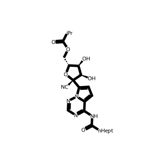 CCCCCCCC(=O)Nc1ncnn2c([C@]3(C#N)O[C@H](COC(=O)C(C)C)[C@@H](O)[C@H]3O)ccc12